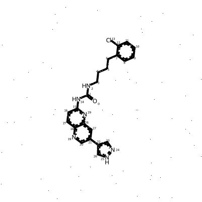 O=C(NCCCCc1ccccc1Cl)Nc1ccc2ncc(-c3cn[nH]c3)cc2n1